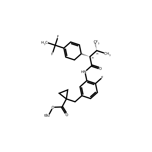 C[C@H]([C@H](C(=O)Nc1cc(CC2(C(=O)OC(C)(C)C)CC2)ccc1F)C1C=CC(C(C)(F)F)=CC1)C(F)(F)F